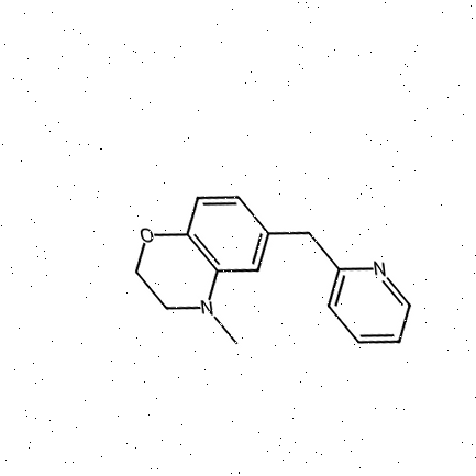 CN1CCOc2ccc(Cc3ccccn3)cc21